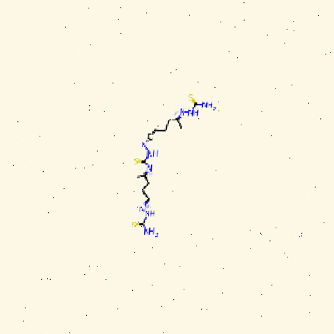 C/C(CCC=C=NNC(=S)/N=C(\C)CC/C=N/NC(N)=S)=N\NC(N)=S